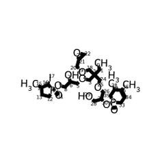 CCC(COCC(O)COP1(=O)CCC(C)[C@H]1I)(COCC1CO1)COCC(CO)OP1(=O)CC=C(C)[C@@H](C)C1